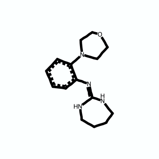 c1ccc(N2CCOCC2)c(N=C2NCCCCN2)c1